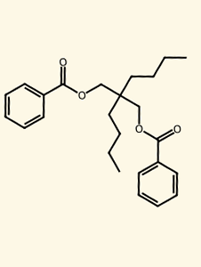 CCCCC(CCCC)(COC(=O)c1ccccc1)COC(=O)c1ccccc1